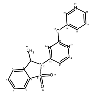 CC1c2ccccc2S(=O)(=O)N1c1ccnc(Oc2cccnc2)n1